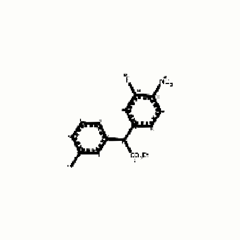 CCOC(=O)C(c1cccc(C)c1)c1ccc([N+](=O)[O-])c(F)c1